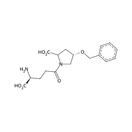 N[C@@H](CCC(=O)N1C[C@@H](OCc2ccccc2)CC1C(=O)O)C(=O)O